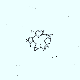 N[C@@H]1CC[C@@H](Nc2ncc(F)c(-c3cnn4c3CC3(CC3)C4)n2)C1